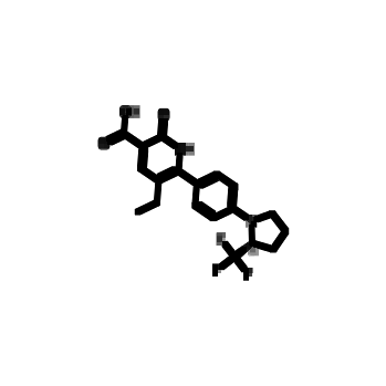 CCc1cc(C(=O)O)c(=O)[nH]c1-c1ccc(N2CCC[C@H]2C(F)(F)F)cc1